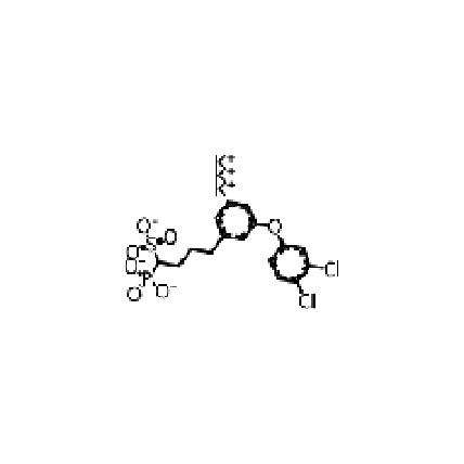 O=P([O-])([O-])C(CCCc1cccc(Oc2ccc(Cl)c(Cl)c2)c1)S(=O)(=O)[O-].[K+].[K+].[K+]